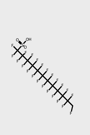 O=S(=O)(O)C(F)(F)C(F)(F)C(F)(F)C(F)(F)C(F)(F)C(F)(F)C(F)(F)C(F)(F)C(F)(F)C(F)(F)C(F)(F)CF